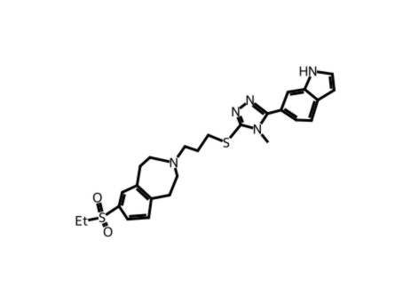 CCS(=O)(=O)c1ccc2c(c1)CCN(CCCSc1nnc(-c3ccc4cc[nH]c4c3)n1C)CC2